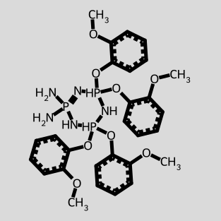 COc1ccccc1O[PH]1(Oc2ccccc2OC)N=P(N)(N)N[PH](Oc2ccccc2OC)(Oc2ccccc2OC)N1